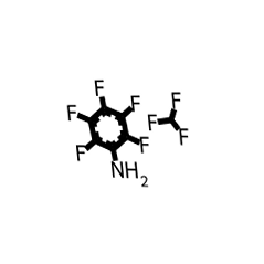 FC(F)F.Nc1c(F)c(F)c(F)c(F)c1F